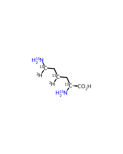 [2H][13CH]([15NH2])C[13CH]([2H])C[13C@H]([15NH2])C(=O)O